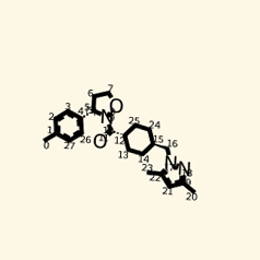 Cc1ccc([C@@H]2CCON2C(=O)[C@H]2CC[C@H](Cn3nc(C)cc3C)CC2)cc1